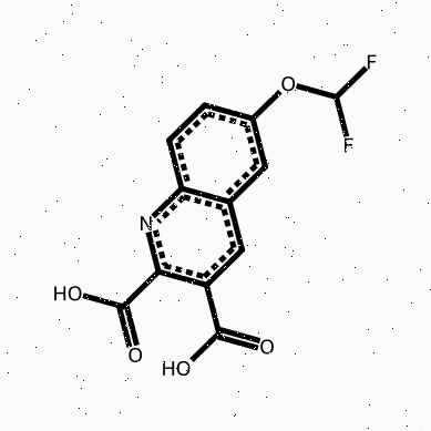 O=C(O)c1cc2cc(OC(F)F)ccc2nc1C(=O)O